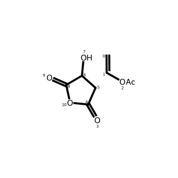 C=COC(C)=O.O=C1CC(O)C(=O)O1